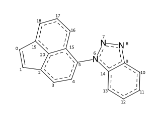 C1=Cc2ccc(-n3nnc4ccccc43)c3cccc1c23